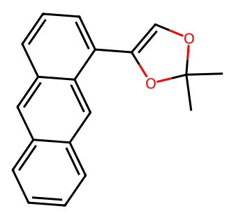 CC1(C)OC=C(c2cccc3cc4ccccc4cc23)O1